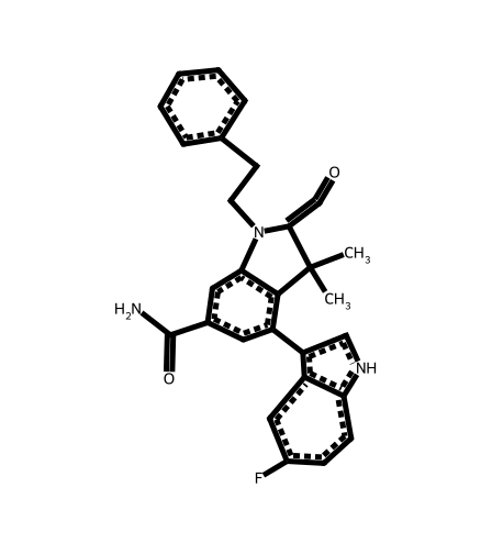 CC1(C)C(=C=O)N(CCc2ccccc2)c2cc(C(N)=O)cc(-c3c[nH]c4ccc(F)cc34)c21